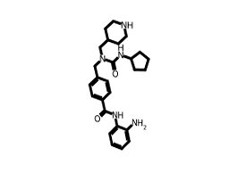 Nc1ccccc1NC(=O)c1ccc(CN(CC2CCNCC2)C(=O)NC2CCCC2)cc1